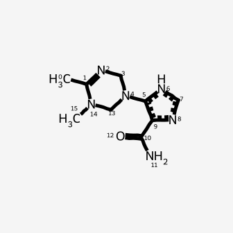 CC1=NCN(c2[nH]cnc2C(N)=O)CN1C